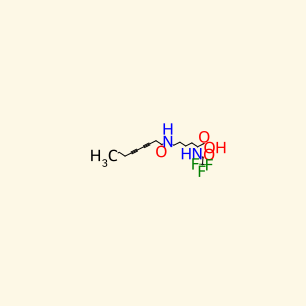 CCCC#CC#CCC(=O)NCCCCC(NC(=O)C(F)(F)F)C(=O)O